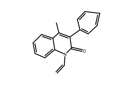 C=Cn1c(=O)c(-c2ccccc2)c(C)c2ccccc21